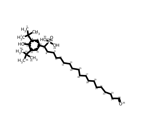 CC(C)(C)c1cc(C(CCCCCCCCCCCCCCCCCC=O)P(=O)(O)O)cc(C(C)(C)C)c1O